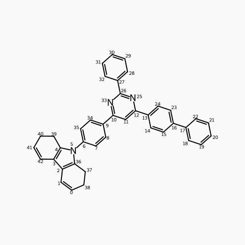 C1=Cc2c3c(n(-c4ccc(-c5cc(-c6ccc(-c7ccccc7)cc6)nc(-c6ccccc6)n5)cc4)c2CC1)CCC=C3